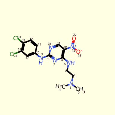 CN(C)CCNc1nc(Nc2ccc(Cl)c(Cl)c2)ncc1[N+](=O)[O-]